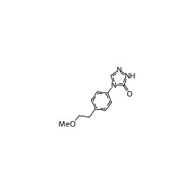 COCCc1ccc(-n2cn[nH]c2=O)cc1